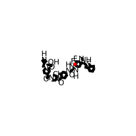 O=C(O)C[N+]1(CC2CNC2)CCC(C(=O)N2CCN(C(=O)c3ccc(NC(=O)c4ncc(Cc5c(C(F)(F)F)n[nH]c5-c5cc6ccccc6s5)[nH]4)cc3Cl)CC2)CC1